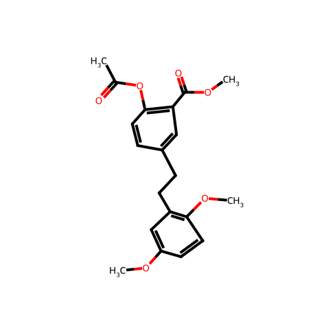 COC(=O)c1cc(CCc2cc(OC)ccc2OC)ccc1OC(C)=O